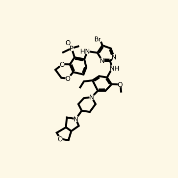 CCc1cc(Nc2ncc(Br)c(Nc3ccc4c(c3P(C)(C)=O)OCCO4)n2)c(OC)cc1N1CCC(N2CC3COCC3C2)CC1